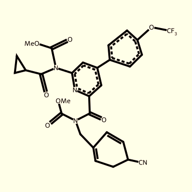 COC(=O)N(CC1=CCC(C#N)C=C1)C(=O)c1cc(-c2ccc(OC(F)(F)F)cc2)cc(N(C(=O)OC)C(=O)C2CC2)n1